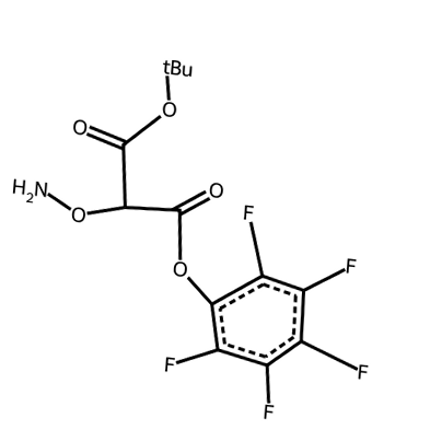 CC(C)(C)OC(=O)C(ON)C(=O)Oc1c(F)c(F)c(F)c(F)c1F